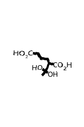 CC(O)(O)C(CCCC(=O)O)C(=O)O